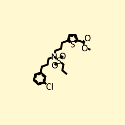 CCCS(=O)(=O)N(CCCc1cccc(Cl)c1)CCCc1ccc(C(=O)OC)s1